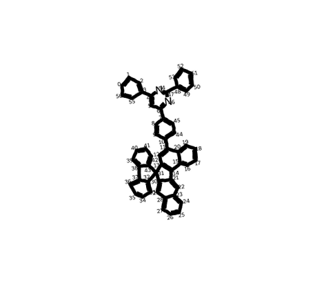 c1ccc(-c2cc(-c3ccc(-c4cc5c(c6ccccc46)-c4cc6ccccc6cc4C54c5ccccc5-c5ccccc54)cc3)nc(-c3ccccc3)n2)cc1